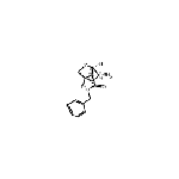 B[C@@H]1OC2(CC)[CH2][Y][C@@H]1[C@H]2C(=O)OCc1ccccc1